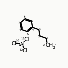 [CH2]CCCc1ccccc1.[Cl][Al]([Cl])[Cl]